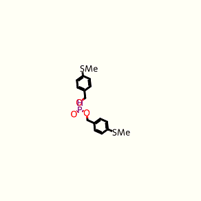 CSc1ccc(CO[PH](=O)OCc2ccc(SC)cc2)cc1